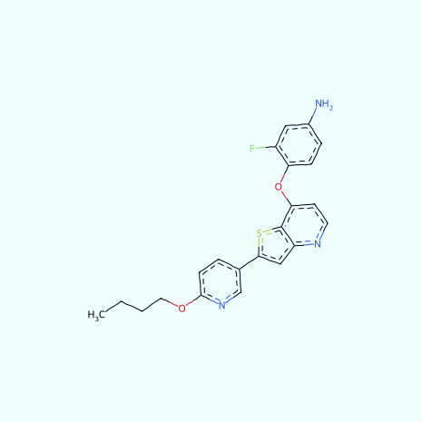 CCCCOc1ccc(-c2cc3nccc(Oc4ccc(N)cc4F)c3s2)cn1